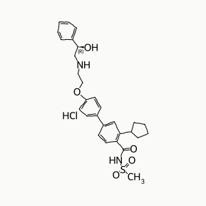 CS(=O)(=O)NC(=O)c1ccc(-c2ccc(OCCNC[C@H](O)c3ccccc3)cc2)cc1C1CCCC1.Cl